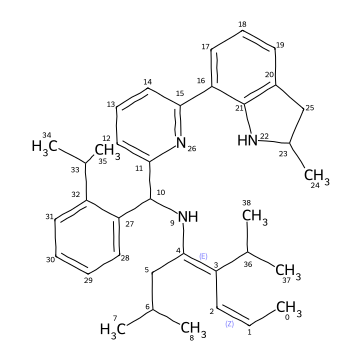 C/C=C\C(=C(/CC(C)C)NC(c1cccc(-c2cccc3c2NC(C)C3)n1)c1ccccc1C(C)C)C(C)C